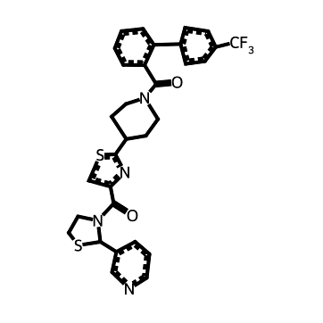 O=C(c1ccccc1-c1ccc(C(F)(F)F)cc1)N1CCC(c2nc(C(=O)N3CCSC3c3cccnc3)cs2)CC1